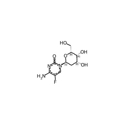 Nc1nc(=O)n([C@@H]2C[C@@H](O)[C@@H](O)[C@@H](CO)O2)cc1F